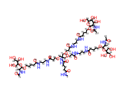 CNC(=O)CCCC(=O)NC(COCCC(=O)NCCCNC(=O)CCCCO[C@H](OC(CO)[C@H](O)CO)[C@H](C)NC(C)=O)(COCCC(=O)NCCCNC(=O)CCCCO[C@H](OC(CO)[C@H](O)CO)[C@H](C)NC(C)=O)COCCC(=O)NCCCNC(=O)CCCCO[C@@H]1OC(CO)[C@H](O)C(O)[C@@H]1NC(C)=O